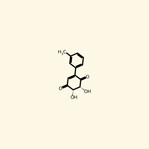 Cc1cccc(C2=CC(=O)[C@@H](O)[C@@H](O)C2=O)c1